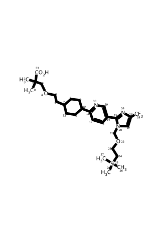 CC(C)(COCCC1CCC(c2ccc(-c3nc(C(F)(F)F)cn3COCC[Si](C)(C)C)cn2)CC1)C(=O)O